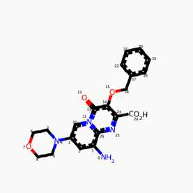 Nc1cc(N2CCOCC2)cn2c(=O)c(OCc3ccccc3)c(C(=O)O)nc12